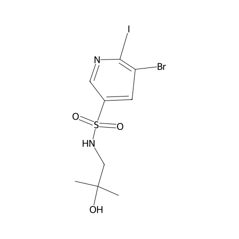 CC(C)(O)CNS(=O)(=O)c1cnc(I)c(Br)c1